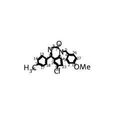 COc1ccc(CN2C(=O)CN=C(c3ccc(C)cc3)c3cc(Cl)ccc32)cc1